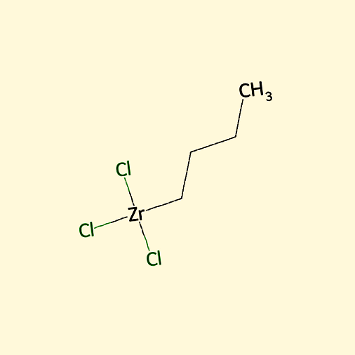 CCC[CH2][Zr]([Cl])([Cl])[Cl]